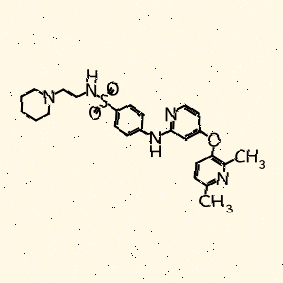 Cc1ccc(Oc2ccnc(Nc3ccc(S(=O)(=O)NCCN4CCCCC4)cc3)c2)c(C)n1